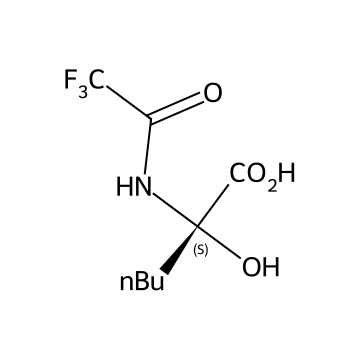 CCCC[C@@](O)(NC(=O)C(F)(F)F)C(=O)O